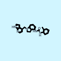 Cc1ccccc1NC(=O)Nc1cccc2c1CCN2Cc1ccnc2[nH]ccc12